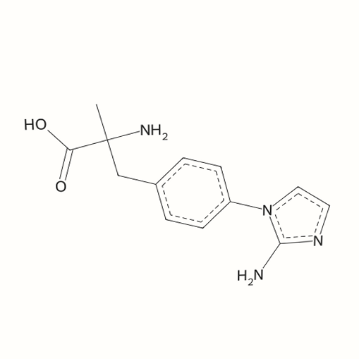 CC(N)(Cc1ccc(-n2ccnc2N)cc1)C(=O)O